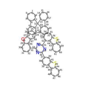 c1ccc2c(c1)-c1ccccc1C21c2ccccc2-c2cccc(-c3ccc4oc5cccc(-c6nc(-c7ccc8c(c7)sc7ccccc78)nc(-c7cccc8sc9ccccc9c78)n6)c5c4c3)c21